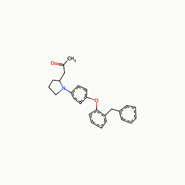 CC(=O)CC1CCCN1c1ccc(Oc2ccccc2Cc2ccccc2)cc1